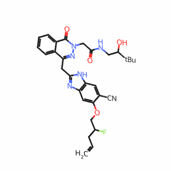 C=CCC(F)COc1cc2nc(Cc3nn(CC(=O)NCC(O)C(C)(C)C)c(=O)c4ccccc34)[nH]c2cc1C#N